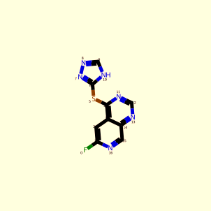 Fc1cc2c(Sc3nnc[nH]3)ncnc2cn1